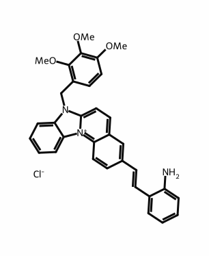 COc1ccc(Cn2c3ccccc3[n+]3c4ccc(/C=C/c5ccccc5N)cc4ccc23)c(OC)c1OC.[Cl-]